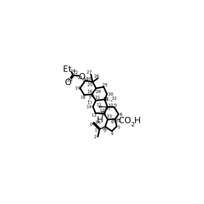 C=C(C)[C@@H]1CC[C@]2(C(=O)O)CC[C@]3(C)[C@H](CCC4[C@@]5(C)CC[C@H](OC(=O)CC)C(C)(C)C5CC[C@]43C)C12